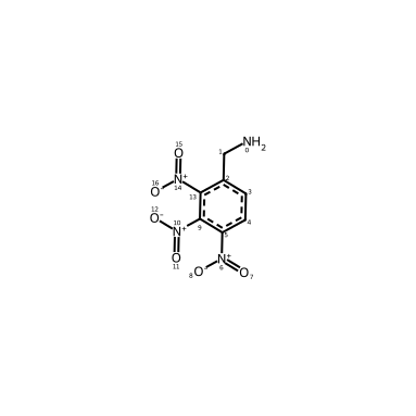 NCc1ccc([N+](=O)[O-])c([N+](=O)[O-])c1[N+](=O)[O-]